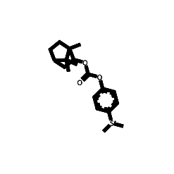 C[S+](C)c1ccc(OC(=O)OC2CC3CCC2(C)C3(C)C)cc1